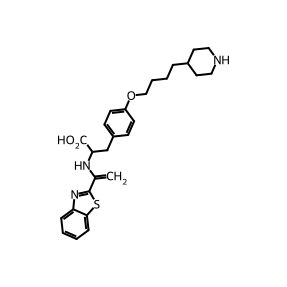 C=C(NC(Cc1ccc(OCCCCC2CCNCC2)cc1)C(=O)O)c1nc2ccccc2s1